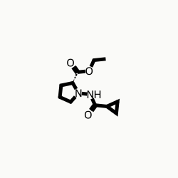 CCOC(=O)[C@H]1CCCN1NC(=O)C1CC1